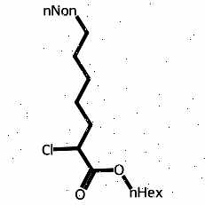 CCCCCCCCCCCCCCC(Cl)C(=O)OCCCCCC